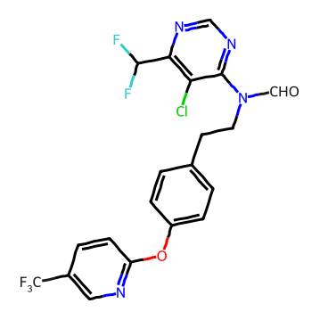 O=CN(CCc1ccc(Oc2ccc(C(F)(F)F)cn2)cc1)c1ncnc(C(F)F)c1Cl